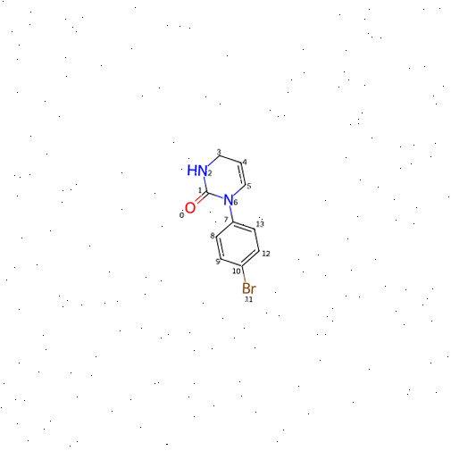 O=C1NCC=CN1c1ccc(Br)cc1